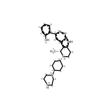 C[C@@H]1c2c([nH]c3nnc(-c4ccccc4O)cc23)CCN1[C@H]1CC[C@H](N2CCNCC2)CC1